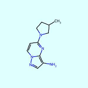 CC1CCN(c2ccn3ncc(N)c3n2)C1